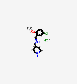 Cl.FC(F)(F)Oc1ccc(Cl)cc1CNCC1CCNCC1